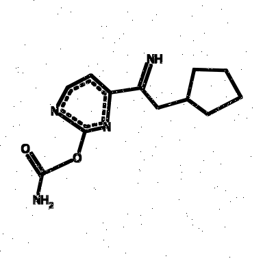 N=C(CC1CCCC1)c1ccnc(OC(N)=O)n1